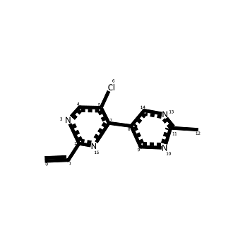 C=Cc1ncc(Cl)c(-c2cnc(C)nc2)n1